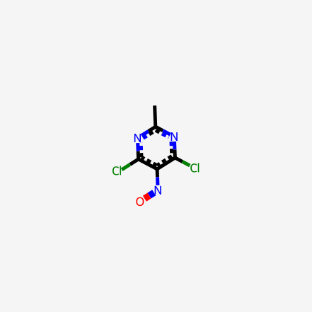 Cc1nc(Cl)c(N=O)c(Cl)n1